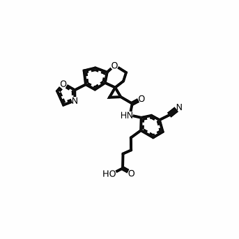 N#Cc1ccc(CCCC(=O)O)c(NC(=O)C2CC23CCOc2ccc(-c4ncco4)cc23)c1